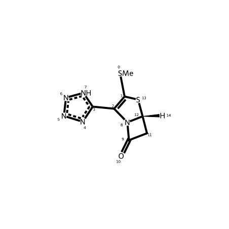 CSC1=C(c2nnn[nH]2)N2C(=O)C[C@H]2S1